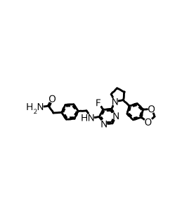 NC(=O)Cc1ccc(CNc2ncnc(N3CCCC3c3ccc4c(c3)OCO4)c2F)cc1